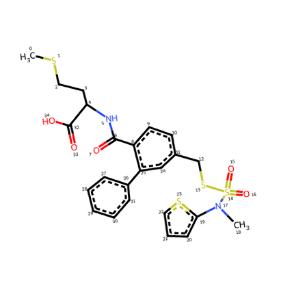 CSCCC(NC(=O)c1ccc(CSS(=O)(=O)N(C)c2cccs2)cc1-c1ccccc1)C(=O)O